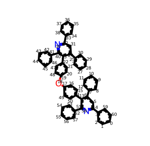 c1ccc(-c2cc(-c3ccccc3)c(-c3ccc(Oc4ccc(-c5c(-c6ccccc6)cc(-c6ccccc6)nc5-c5ccccc5)cc4)cc3)c(-c3ccccc3)n2)cc1